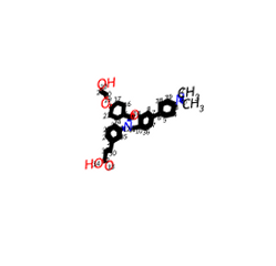 CN(C)c1ccc(-c2ccc(CN(C(=O)C3CCC(OCCO)CC3)c3cccc(C=CC(=O)O)c3)cc2)cc1